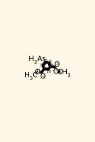 COC(=O)c1cc([AsH2])cc(C(=O)OC)c1